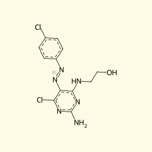 Nc1nc(Cl)c(/N=N/c2ccc(Cl)cc2)c(NCCO)n1